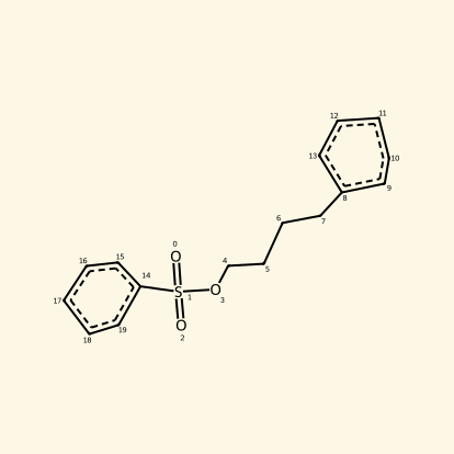 O=S(=O)(OCCCCc1ccccc1)c1ccccc1